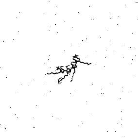 CCCCCCc1cc(-c2sc(C(C)(C)C)cc2CCCCCC)sc1-c1cc(CCCCCC)c(-c2cc(CCCCCC)c(C(C)(C)C)s2)s1